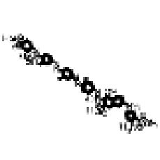 COc1cc(N=Nc2ccc(N=Nc3ccc(N=Nc4ccc(S(=O)(=O)O)cc4S(=O)(=O)O)c(C)c3)c(C)c2)c(C)cc1N=Nc1c(S(=O)(=O)O)cc2cc(Nc3ccc(N)c(S(=O)(=O)O)c3)ccc2c1O